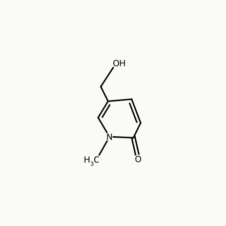 Cn1cc(CO)ccc1=O